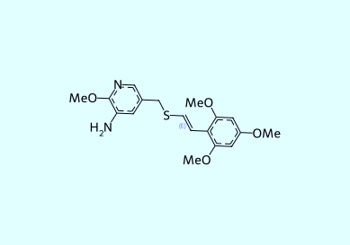 COc1cc(OC)c(/C=C/SCc2cnc(OC)c(N)c2)c(OC)c1